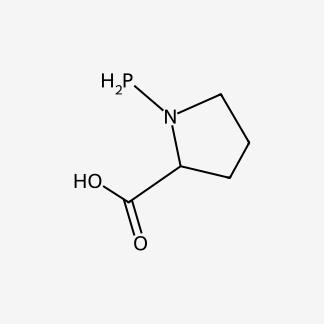 O=C(O)C1CCCN1P